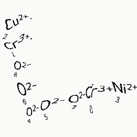 [Cr+3].[Cr+3].[Cu+2].[Ni+2].[O-2].[O-2].[O-2].[O-2].[O-2]